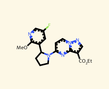 CCOC(=O)c1cnn2ccc(N3CCCC3c3cc(F)cnc3OC)nc12